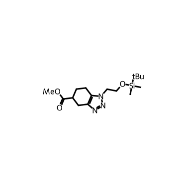 COC(=O)C1CCc2c(nnn2CCO[Si](C)(C)C(C)(C)C)C1